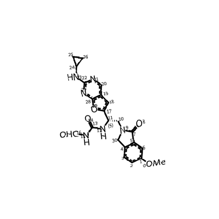 COc1ccc2c(c1)C(=O)N(C[C@H](NC(=O)NC=O)c1cc3cnc(NC4CC4)nc3o1)C2